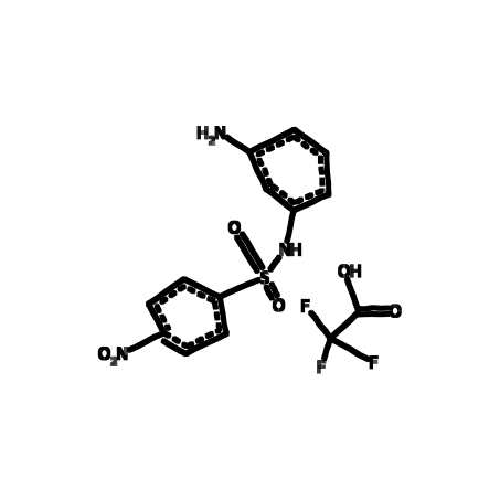 Nc1cccc(NS(=O)(=O)c2ccc([N+](=O)[O-])cc2)c1.O=C(O)C(F)(F)F